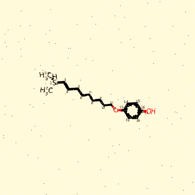 C[SiH](C)CCCCCCCCCOc1ccc(O)cc1